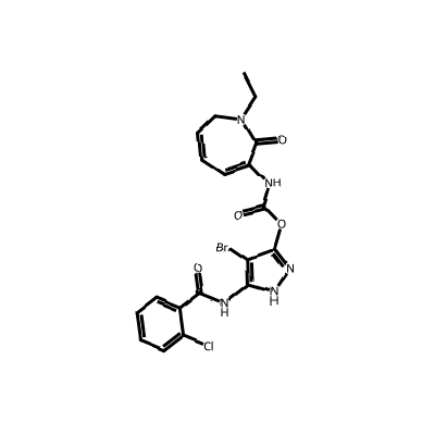 CCN1CC=CC=C(NC(=O)Oc2n[nH]c(NC(=O)c3ccccc3Cl)c2Br)C1=O